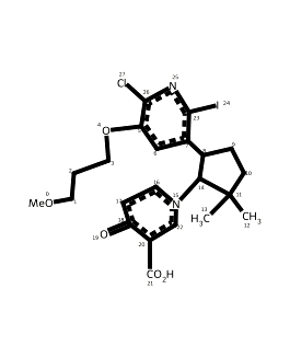 COCCCOc1cc(C2CCC(C)(C)C2n2ccc(=O)c(C(=O)O)c2)c(I)nc1Cl